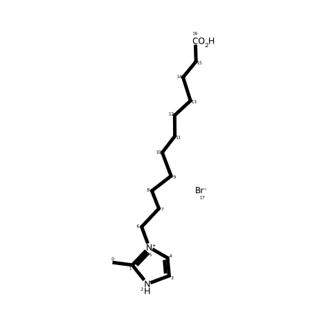 Cc1[nH]cc[n+]1CCCCCCCCCCC(=O)O.[Br-]